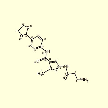 Cn1cc(NC(=O)CCN)cc1C(=O)Nc1ccc(C2OCCO2)cc1